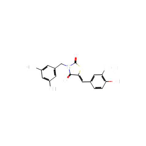 Cc1cc(C)cc(CN2C(=O)S/C(=C\c3ccc(O)c(C(=O)O)c3)C2=O)c1